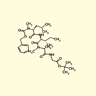 CC[C@H](C)[C@H](NC(=O)[C@H](CC(C)C)N(C)C(=O)OCc1ccccc1)C(=O)N(C)[C@@H](C)C(=O)NCC(=O)OC(C)(C)C